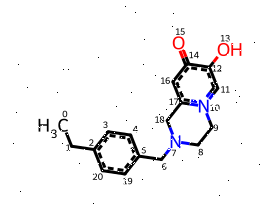 CCc1ccc(CN2CCn3cc(O)c(=O)cc3C2)cc1